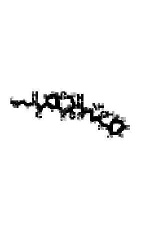 CSCCNC(=O)c1ccc2c(c1)N(C)C(=O)[C@@H](NC(=O)C(=N)/C=C(\O)Cc1ccccc1)CO2